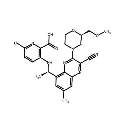 COC[C@H]1CN(c2nc3c([C@@H](C)Nc4ccc(Cl)nc4C(=O)O)cc(C)cc3nc2C#N)CCO1